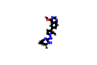 C=N/C(=N\n1ccc(-c2ccc3ncnc(OC)c3c2)c1C)N[C@H](C)C1CC1